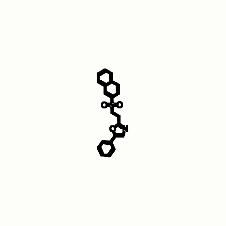 O=S(=O)(CCc1ncc(-c2ccccc2)o1)c1ccc2ccccc2c1